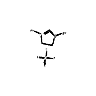 CC(C)N1C=[N+](C(C)C)CC1.F[B-](F)(F)F